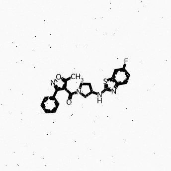 Cc1onc(-c2ccccc2)c1C(=O)N1CCC(Nc2nc3ccc(F)cc3s2)C1